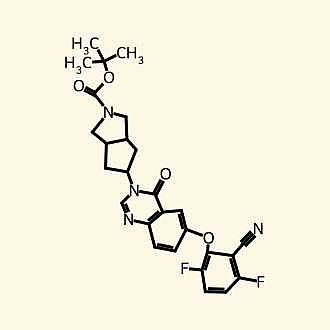 CC(C)(C)OC(=O)N1CC2CC(n3cnc4ccc(Oc5c(F)ccc(F)c5C#N)cc4c3=O)CC2C1